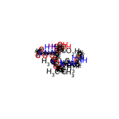 Cc1c(-c2ccc(-c3cc4cccc(C(=O)Nc5nc6ccccc6s5)c4[nH]3)nc2C(=O)O)cnn1CC12CC3(C)CC(C)(C1)CC(OCCN(C)C(=O)OCc1ccc(O[C@@H]4O[C@H](C(=O)O)[C@@H](O)[C@H](O)[C@H]4O)c(NC(=O)CCNC(=O)CCN4C(=O)C=CC4=O)c1)(C3)C2